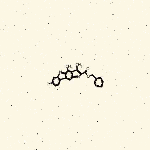 CC1=C(C(=O)OCc2ccccc2)N=c2cc3c(c(C)c21)=Nc1cc(F)ccc1-3